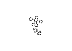 c1ccc(-c2c3c(c(-c4ccccc4)c4ccccc24)-c2ccc(-c4ncnc(-c5ncccn5)n4)c4cccc-3c24)cc1